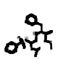 CSCC(=O)C(Cc1ccccc1)NCC(CC(C)C)NS(=O)(=O)c1ccccc1